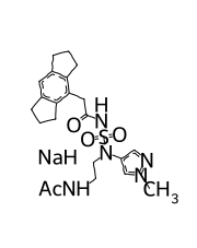 CC(=O)NCCN(c1cnn(C)c1)S(=O)(=O)NC(=O)Cc1c2c(cc3c1CCC3)CCC2.[NaH]